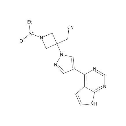 CC[S+]([O-])N1CC(CC#N)(n2cc(-c3ncnc4[nH]ccc34)cn2)C1